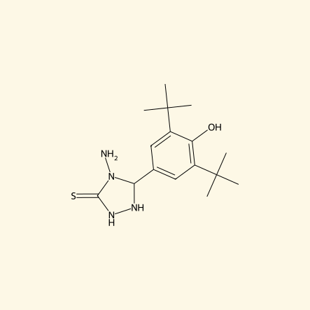 CC(C)(C)c1cc(C2NNC(=S)N2N)cc(C(C)(C)C)c1O